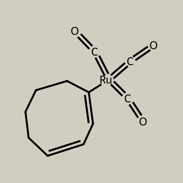 O=[C]=[Ru](=[C]=O)(=[C]=O)[C]1=CC=CCCCC1